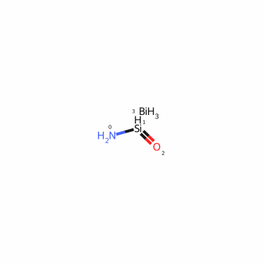 N[SiH]=O.[BiH3]